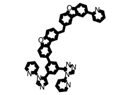 c1ccc(-c2ccc3oc4ccc(Cc5ccc6oc7ccc(-c8cc(-c9cncn9-c9ccccn9)cc(-c9nncn9-c9ccccn9)c8)cc7c6c5)cc4c3c2)nc1